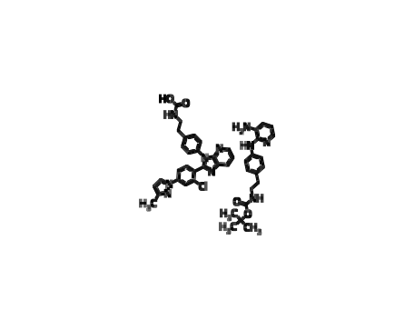 CC(C)(C)OC(=O)NCCc1ccc(Nc2ncccc2N)cc1.Cc1ccn(-c2ccc(-c3nc4cccnc4n3-c3ccc(CCNC(=O)O)cc3)c(Cl)c2)n1